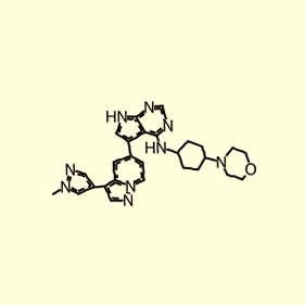 Cn1cc(-c2cnn3ccc(-c4c[nH]c5ncnc(NC6CCC(N7CCOCC7)CC6)c45)cc23)cn1